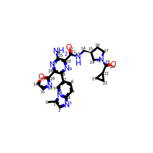 Cc1cnc2ccc(-c3nc(C(=O)NC[C@H]4CCN(C(=O)C5CC5)C4)c(N)nc3-c3ncco3)cn12